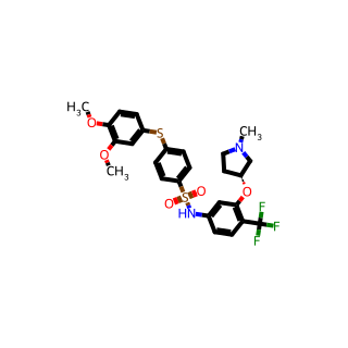 COc1ccc(Sc2ccc(S(=O)(=O)Nc3ccc(C(F)(F)F)c(O[C@@H]4CCN(C)C4)c3)cc2)cc1OC